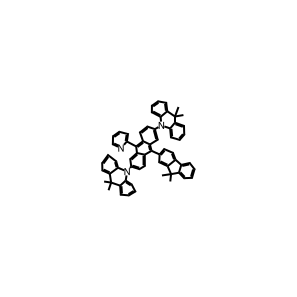 CC1(C)c2ccccc2-c2ccc(-c3c4cc(N5c6ccccc6C(C)(C)c6ccccc65)ccc4c(-c4ccccn4)c4cc(N5c6ccccc6C(C)(C)c6ccccc65)ccc34)cc21